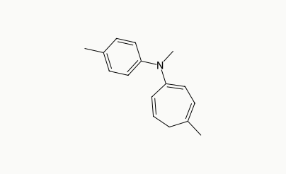 CC1=CC=C(N(C)c2ccc(C)cc2)C=CC1